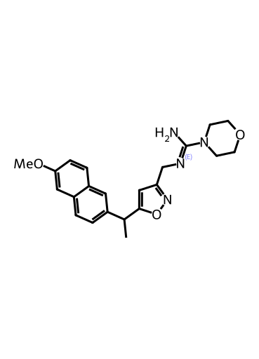 COc1ccc2cc(C(C)c3cc(C/N=C(\N)N4CCOCC4)no3)ccc2c1